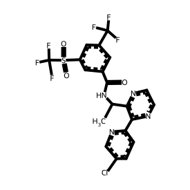 CC(NC(=O)c1cc(C(F)(F)F)cc(S(=O)(=O)C(F)(F)F)c1)c1nccnc1-c1ccc(Cl)cn1